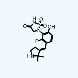 CC1(C)NCC/C1=C\c1ccc(O)c(N2CC(=O)NS2(=O)=O)c1F